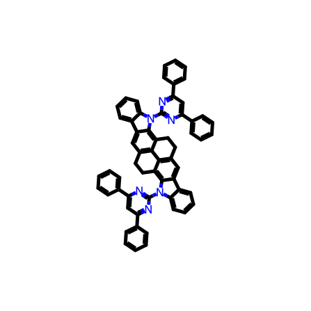 c1ccc(-c2cc(-c3ccccc3)nc(-n3c4ccccc4c4cc5c6c(c43)CCc3cc4c7ccccc7n(-c7nc(-c8ccccc8)cc(-c8ccccc8)n7)c4c(c3-6)CC5)n2)cc1